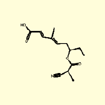 CC[C@H](C/C=C(C)/C=C/C(=O)O)OC(=O)[C@@H](C)C#N